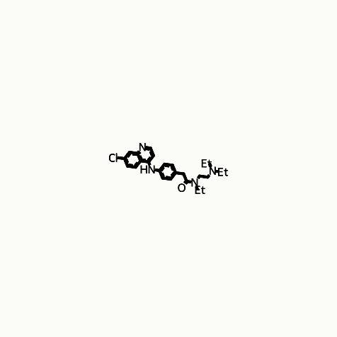 CCN(CC)CCN(CC)C(=O)Cc1ccc(Nc2ccnc3cc(Cl)ccc23)cc1